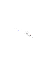 O=C(NCCCCC/C=C(\F)CO)NC12CC3CCCC(C3)(C1)C2